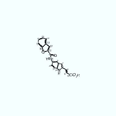 O=C(O)C=Cc1cc2cc(NC(=O)c3cc4ccccc4o3)ccc2[nH]1